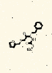 CC(C)(C)OC(=O)N[C@@H](CCc1ccccc1)C(=O)CSCc1ccco1